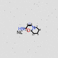 N#CNC(=O)/C=C\N1CCCCC1